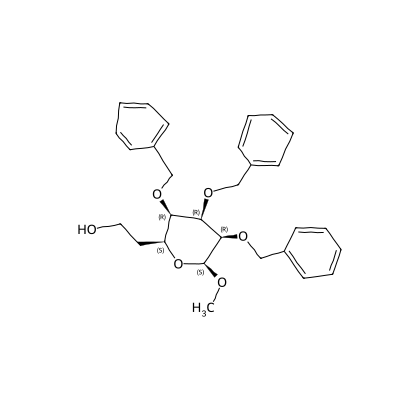 CO[C@H]1O[C@@H](CCO)[C@@H](OCc2ccccc2)[C@@H](OCc2ccccc2)[C@H]1OCc1ccccc1